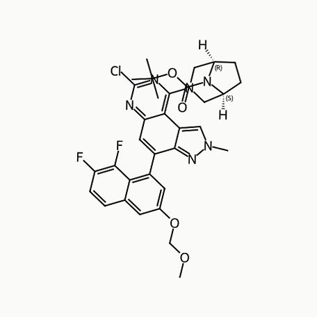 COCOc1cc(-c2cc3nc(Cl)nc(N4C[C@H]5CC[C@@H](C4)N5C(=O)OC(C)(C)C)c3c3cn(C)nc23)c2c(F)c(F)ccc2c1